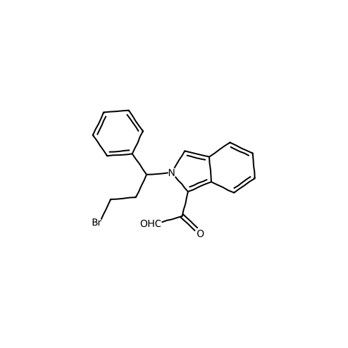 O=CC(=O)c1c2ccccc2cn1C(CCBr)c1ccccc1